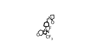 O=C1CCCN1Cc1ccc(-n2nc(C(F)(F)F)c3c2CCOC3)c(F)c1